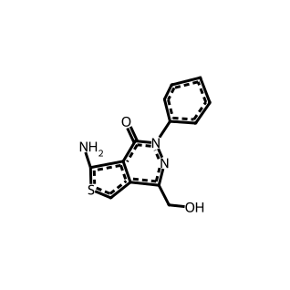 Nc1scc2c(CO)nn(-c3ccccc3)c(=O)c12